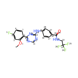 COc1cc(F)ccc1-c1ncnc(Nc2ccc(C(=O)NCC(F)(F)F)cc2)n1